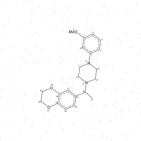 COc1cccc(N2CCN(C(C)c3ccc4c(c3)OCCO4)CC2)c1